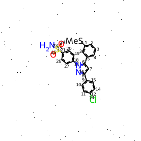 CSc1cccc(-c2cc(-c3ccc(Cl)cc3)nn2-c2ccc(S(N)(=O)=O)cc2)c1